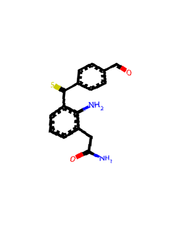 NC(=O)Cc1cccc(C(=S)c2ccc(C=O)cc2)c1N